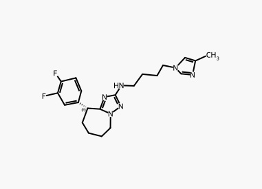 Cc1cn(CCCCNc2nc3n(n2)CCCC[C@@H]3c2ccc(F)c(F)c2)cn1